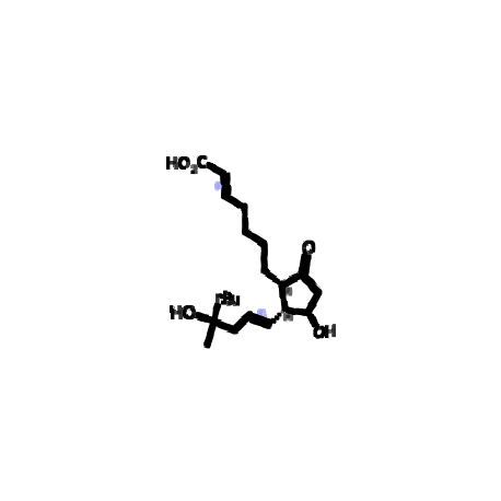 CCCCC(C)(O)C/C=C/[C@H]1C(O)CC(=O)[C@@H]1CCCC/C=C/C(=O)O